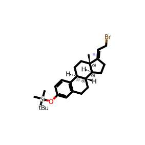 CC(C)(C)[Si](C)(C)Oc1ccc2c(c1)CC[C@@H]1[C@@H]2CC[C@]2(C)/C(=C/CBr)CC[C@@H]12